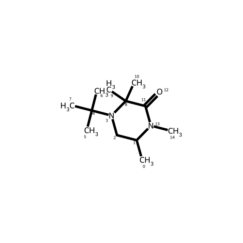 CC1CN(C(C)(C)C)C(C)(C)C(=O)N1C